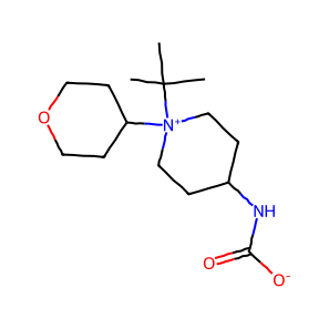 CC(C)(C)[N+]1(C2CCOCC2)CCC(NC(=O)[O-])CC1